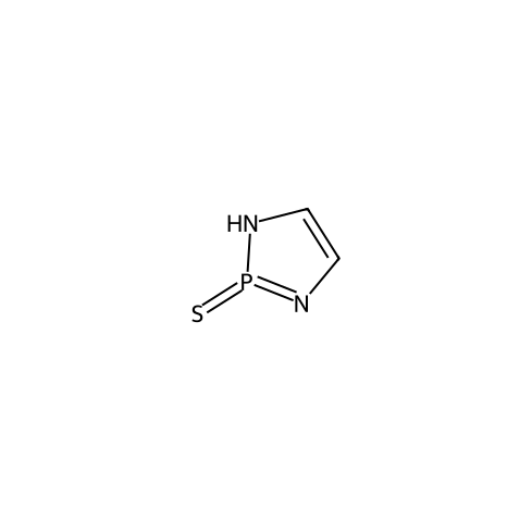 S=P1=NC=CN1